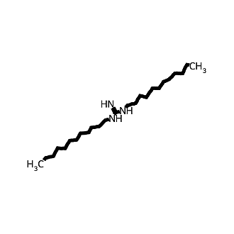 CCCCCCCCCCCCNC(=N)NCCCCCCCCCCCC